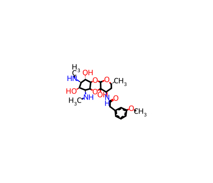 CN[C@@H]1[C@H](O)[C@H](NC)C2OC3(O)C(OC2[C@H]1O)O[C@H](C)C[C@H]3NC(=O)Cc1cccc(OC)c1